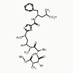 CC[C@H](C)[C@H](NC(=O)[C@H](C(C)C)N(C)C(=O)OC(C)(C)C)C(=O)N(C)[C@H](C[C@@H](OC(C)=O)c1nc(C(=O)N[C@@H](Cc2ccccc2)CC(C)C(=O)O)cs1)C(C)C